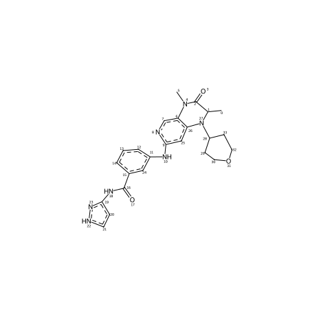 CC1C(=O)N(C)c2cnc(Nc3cccc(C(=O)Nc4cc[nH]n4)c3)cc2N1C1CCOCC1